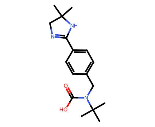 CC1(C)CN=C(c2ccc(CN(C(=O)O)C(C)(C)C)cc2)N1